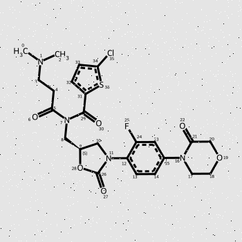 CN(C)CCC(=O)N(C[C@H]1CN(c2ccc(N3CCOCC3=O)cc2F)C(=O)O1)C(=O)c1ccc(Cl)s1